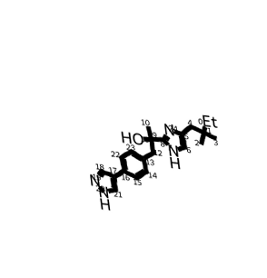 CCC(C)(C)Cc1c[nH]c(C(C)(O)Cc2ccc(-c3cn[nH]c3)cc2)n1